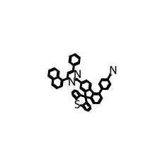 N#Cc1ccc(-c2cccc3c2-c2ccc(-c4nc(-c5ccccc5)cc(-c5cccc6ccccc56)n4)cc2C32c3ccccc3Sc3ccccc32)cc1